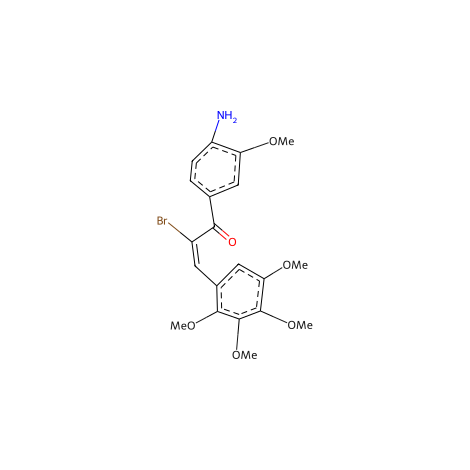 COc1cc(C(=O)/C(Br)=C\c2cc(OC)c(OC)c(OC)c2OC)ccc1N